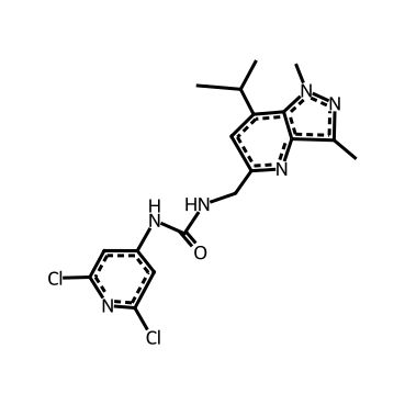 Cc1nn(C)c2c(C(C)C)cc(CNC(=O)Nc3cc(Cl)nc(Cl)c3)nc12